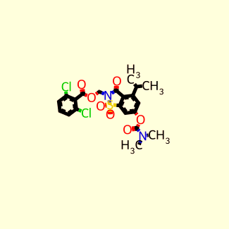 CC(C)c1cc(OC(=O)N(C)C)cc2c1C(=O)N(COC(=O)c1c(Cl)cccc1Cl)S2(=O)=O